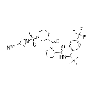 CC(C)(C)[C@@H](NC(=O)[C@H]1CCCN1C(=O)[C@H]1CCCN(S(=O)(=O)N2CC(C#N)C2)C1)c1ccc(C(F)(F)F)cc1